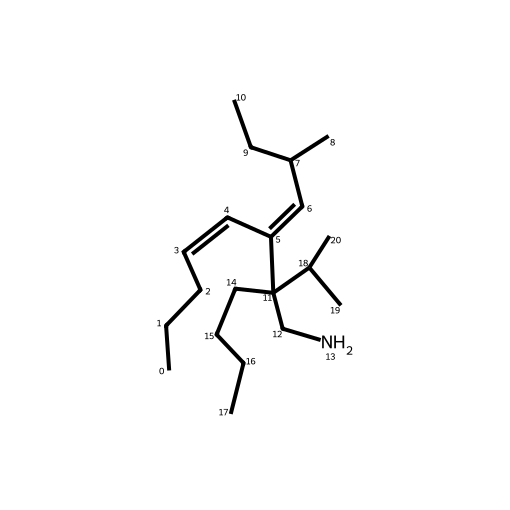 CCC/C=C\C(=C/C(C)CC)C(CN)(CCCC)C(C)C